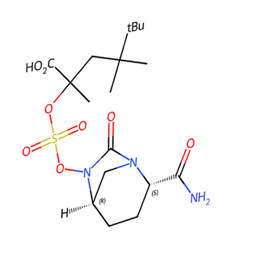 CC(CC(C)(C)C(C)(C)C)(OS(=O)(=O)ON1C(=O)N2C[C@H]1CC[C@H]2C(N)=O)C(=O)O